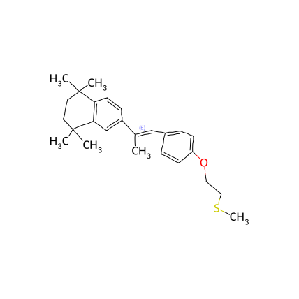 CSCCOc1ccc(/C=C(\C)c2ccc3c(c2)C(C)(C)CCC3(C)C)cc1